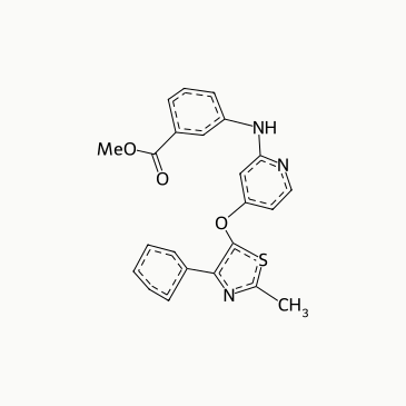 COC(=O)c1cccc(Nc2cc(Oc3sc(C)nc3-c3ccccc3)ccn2)c1